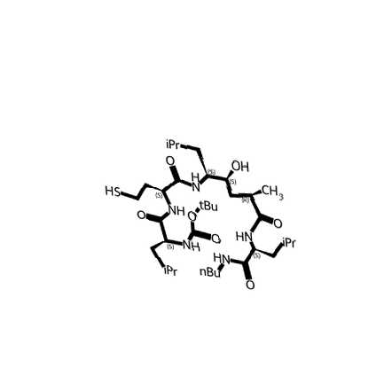 CCCCNC(=O)[C@H](CC(C)C)NC(=O)[C@H](C)C[C@H](O)[C@H](CC(C)C)NC(=O)[C@H](CCS)NC(=O)[C@H](CC(C)C)NC(=O)OC(C)(C)C